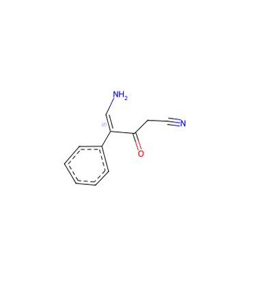 N#CCC(=O)/C(=C\N)c1ccccc1